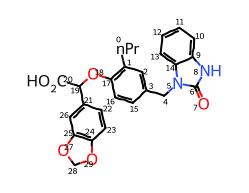 CCCc1cc(Cn2c(=O)[nH]c3ccccc32)ccc1OC(C(=O)O)c1ccc2c(c1)OCO2